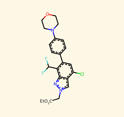 CCOC(=O)Cn1cc2c(Cl)cc(-c3ccc(N4CCOCC4)cc3)c(C(F)F)c2n1